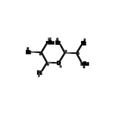 CCCCC(CC)C(CC)OC(CC)C(CC)CCCC